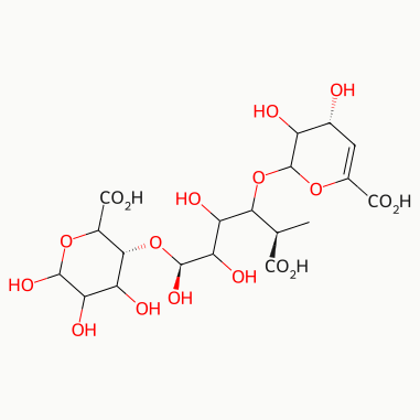 C[C@@H](C(=O)O)C(OC1OC(C(=O)O)=C[C@@H](O)C1O)C(O)C(O)[C@@H](O)O[C@H]1C(C(=O)O)OC(O)C(O)C1O